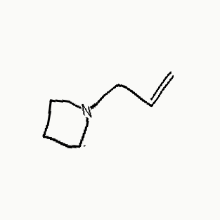 C=CCN1[CH]CC1